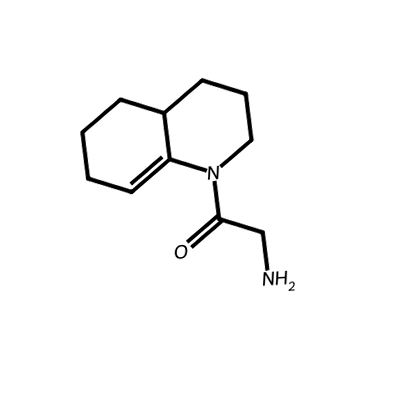 NCC(=O)N1CCCC2CCCC=C21